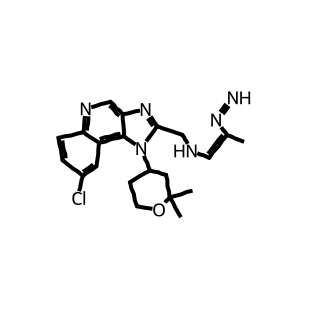 C/C(=C/NCc1nc2cnc3ccc(Cl)cc3c2n1C1CCOC(C)(C)C1)N=N